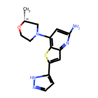 C[C@@H]1CN(c2cc(N)nc3cc(-c4ccn[nH]4)sc23)CCO1